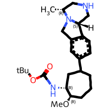 CO[C@@H]1CCCC(c2ccc3c(c2)CN2[C@H](C)CNC[C@H]32)C[C@H]1NC(=O)OC(C)(C)C